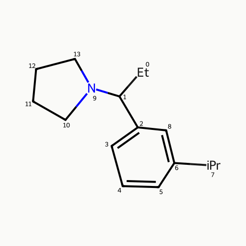 CCC(c1cccc(C(C)C)c1)N1CCCC1